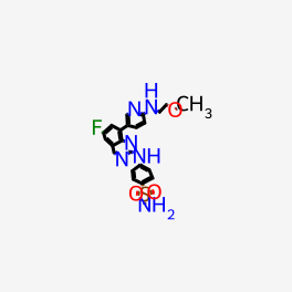 COCCNc1ccc(-c2cc(F)cc3cnc(Nc4ccc(S(N)(=O)=O)cc4)nc23)cn1